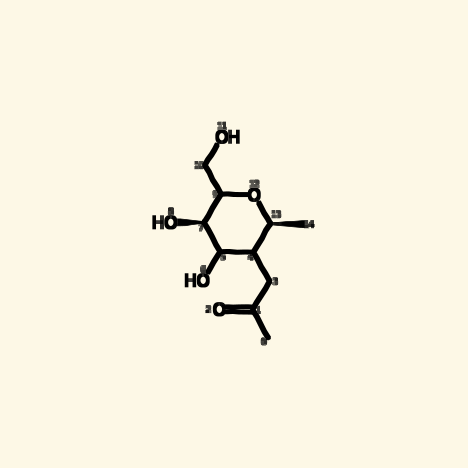 CC(=O)CC1C(O)[C@@H](O)C(CO)O[C@H]1C